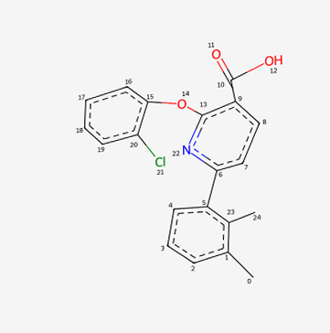 Cc1cccc(-c2ccc(C(=O)O)c(Oc3ccccc3Cl)n2)c1C